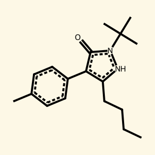 CCCCc1[nH]n(C(C)(C)C)c(=O)c1-c1ccc(C)cc1